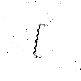 CCCCCCCCCCC/C=C/CCCCC=O